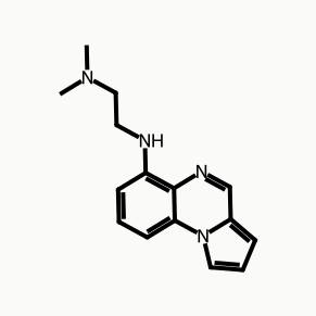 CN(C)CCNc1cccc2c1ncc1cccn12